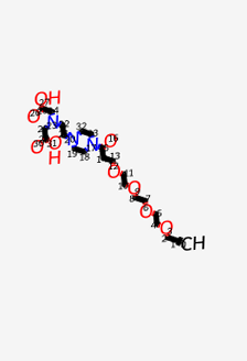 C#CCOCCOCCOCCOCCC(=O)N1CCN(CCN(CC(=O)O)CC(=O)O)CC1